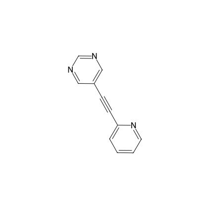 C(#Cc1ccccn1)c1cncnc1